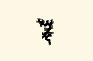 C\C=C(/N=C\C(=C/CC)C(F)(F)F)NCC(CC)C(C)CC(F)(F)CC